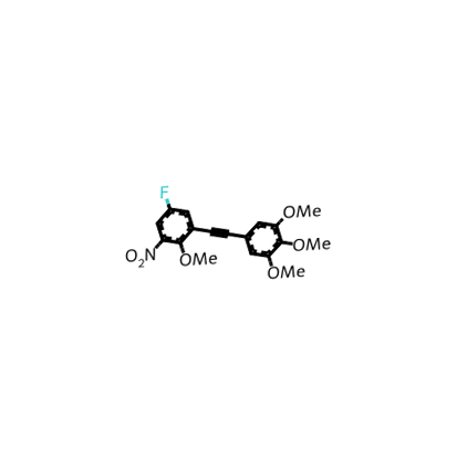 COc1cc(C#Cc2cc(F)cc([N+](=O)[O-])c2OC)cc(OC)c1OC